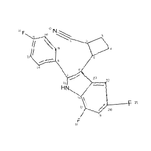 N#CC1CCC1c1c(-c2ccc(F)cc2)[nH]c2c(F)cc(F)cc12